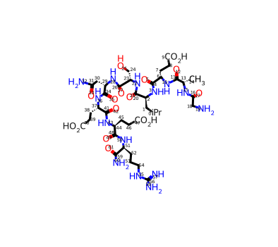 CC(C)C[C@H](NC(=O)[C@H](CCC(=O)O)NC(=O)[C@H](C)NC(=O)CN)C(=O)N[C@@H](CO)C(=O)N[C@@H](CC(N)=O)C(=O)N[C@@H](CCC(=O)O)C(=O)N[C@@H](CCC(=O)O)C(=O)N[C@@H](CCCNC(=N)N)C(N)=O